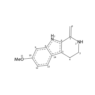 C=C1NCCc2c1[nH]c1cc(OC)ccc21